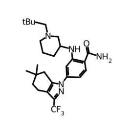 CC(C)(C)CN1CCCC(Nc2cc(-n3nc(C(F)(F)F)c4c3CC(C)(C)CC4)ccc2C(N)=O)C1